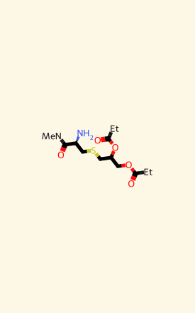 CCC(=O)OCC(CSC[C@H](N)C(=O)NC)OC(=O)CC